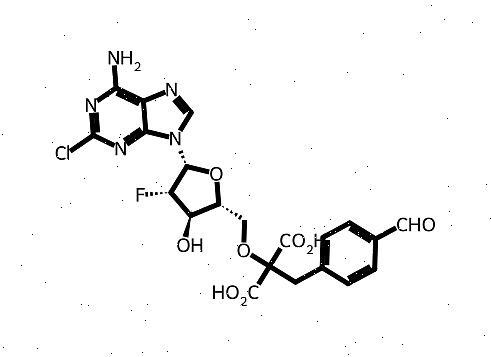 Nc1nc(Cl)nc2c1ncn2[C@@H]1O[C@H](COC(Cc2ccc(C=O)cc2)(C(=O)O)C(=O)O)[C@@H](O)[C@@H]1F